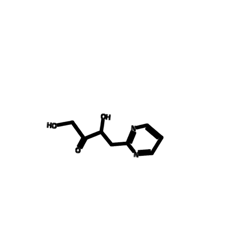 O=C(CO)C(O)Cc1ncccn1